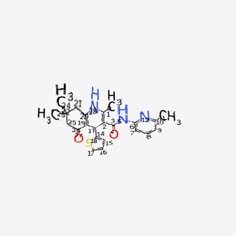 CC1=C(C(=O)Nc2cccc(C)n2)C(c2cccs2)C2=C(CC(C)(C)CC2=O)N1